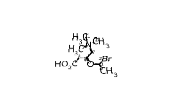 CC(Br)O[C@H](CC(=O)O)C[N+](C)(C)C